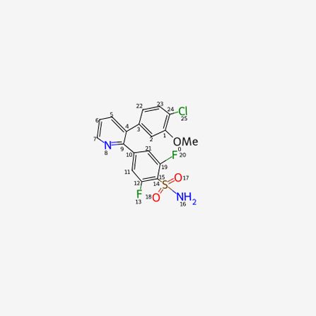 COc1cc(-c2cccnc2-c2cc(F)c(S(N)(=O)=O)c(F)c2)ccc1Cl